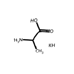 CC(N)C(=O)O.[KH]